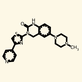 CN1CCN(c2ccc3c(c2)CN(c2nc(-c4ccncc4)cs2)C(=O)N3)CC1